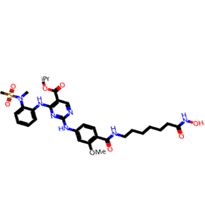 COc1cc(Nc2ncc(C(=O)OC(C)C)c(Nc3ccccc3N(C)S(C)(=O)=O)n2)ccc1C(=O)NCCCCCCC(=O)NO